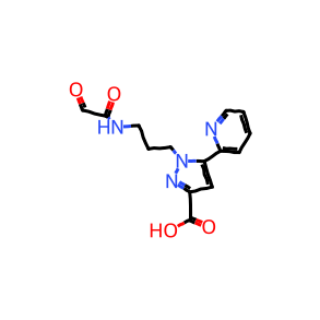 O=CC(=O)NCCCn1nc(C(=O)O)cc1-c1ccccn1